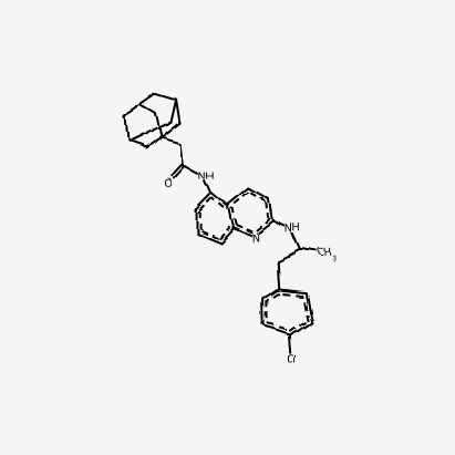 CC(Cc1ccc(Cl)cc1)Nc1ccc2c(NC(=O)CC34CC5CC(CC(C5)C3)C4)cccc2n1